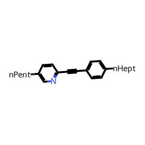 CCCCCCCc1ccc(C#Cc2ccc(CCCCC)cn2)cc1